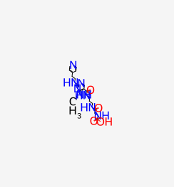 CCCNc1nc(NCCc2ccncc2)ncc1C(=O)NCCCNC(=O)CNC(=O)O